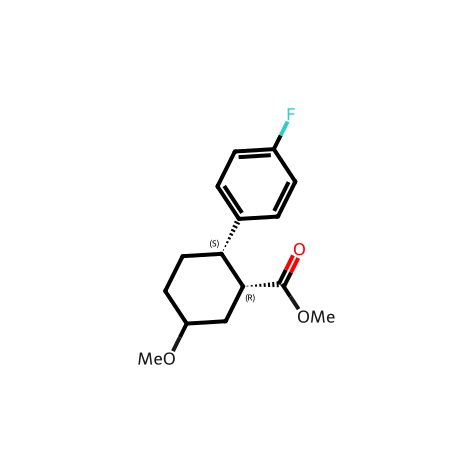 COC(=O)[C@@H]1CC(OC)CC[C@@H]1c1ccc(F)cc1